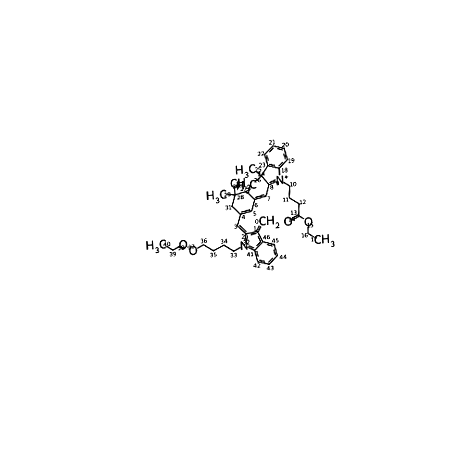 C=c1/c(=C\C2=CC(=C/C3=[N+](CCCC(=O)OCC)c4ccccc4C3(C)C)/CC(C)(C)C2)n(CCCCOOCC)c2ccccc12